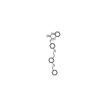 O=C(O)[C@H](Cc1ccc(OCCc2cccc(OCc3ccccc3)c2)cc1)Oc1ccccc1